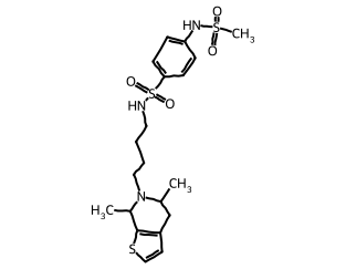 CC1Cc2ccsc2C(C)N1CCCCNS(=O)(=O)c1ccc(NS(C)(=O)=O)cc1